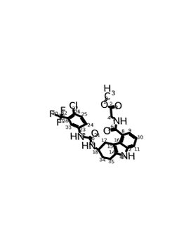 COC(=O)CNC(=O)c1cccc2[nH]c3c(c12)CC(NC(=O)Nc1ccc(Cl)c(C(F)(F)F)c1)CC3